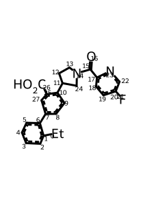 CCc1ccccc1-c1ccc(C2CCN(C(=O)c3ccc(F)cn3)C2)c(C(=O)O)c1